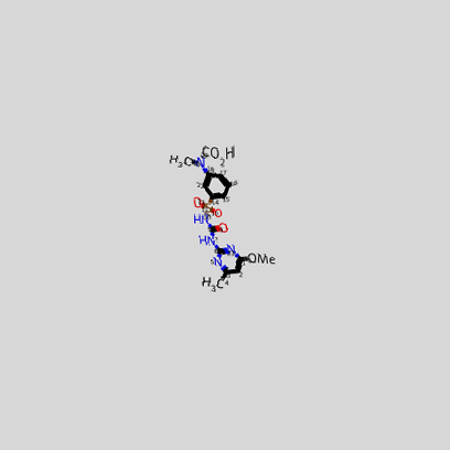 COc1cc(C)nc(NC(=O)NS(=O)(=O)c2cccc(N(C)C(=O)O)c2)n1